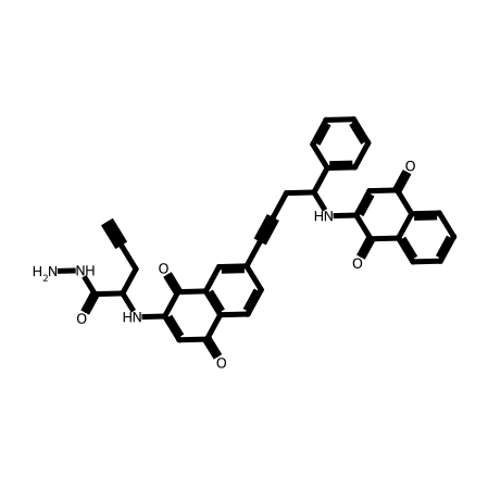 C#CCC(NC1=CC(=O)c2ccc(C#CCC(NC3=CC(=O)c4ccccc4C3=O)c3ccccc3)cc2C1=O)C(=O)NN